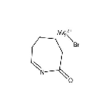 O=C1CCCCC=N1.[Mg+2][Br]